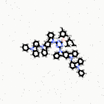 Cc1cc(C)c(B(c2nc(-n3c4ccccc4c4cc5c(cc43)c3ccccc3n5-c3cccc4c3c3ccccc3n4-c3ccccc3)nc(-n3c4ccccc4c4cc5c(cc43)c3ccccc3n5-c3cccc4c3c3ccccc3n4-c3ccccc3)n2)c2c(C)cc(C)cc2C)c(C)c1